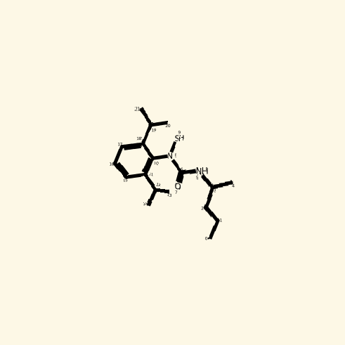 CCCC(C)NC(=O)N(S)c1c(C(C)C)cccc1C(C)C